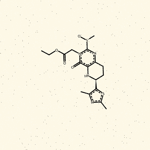 CCOC(=O)Cn1c([S+](C)[O-])nc2c(c1=O)N[C@H](c1sc(C)nc1C)CC2